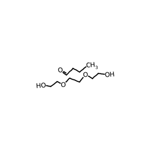 CCCC=O.OCCOCCOCCO